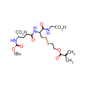 C=C(C)C(=O)OCCSSCC(NC(=O)CC[C@H](NC(=O)OC(C)(C)C)C(=O)O)C(=O)NCC(=O)O